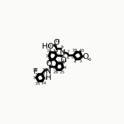 COc1ccc(CCN(CCC(=O)O)C(=O)c2ccccc2-c2ccccc2C(=O)NCc2ccccc2F)cc1